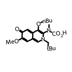 CCCCOc1c2cc(=O)c(OC)cc-2cn(CC(C)(C)C)c1N(C)C(=O)O